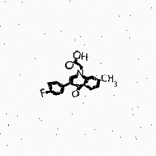 Cc1ccc2c(=O)c(-c3ccc(F)cc3)cn(CC(=O)O)c2c1